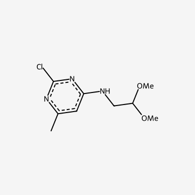 COC(CNc1cc(C)nc(Cl)n1)OC